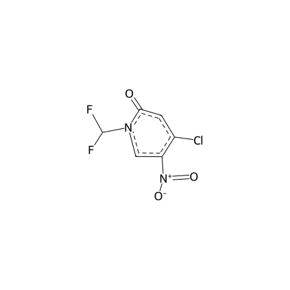 O=c1cc(Cl)c([N+](=O)[O-])cn1C(F)F